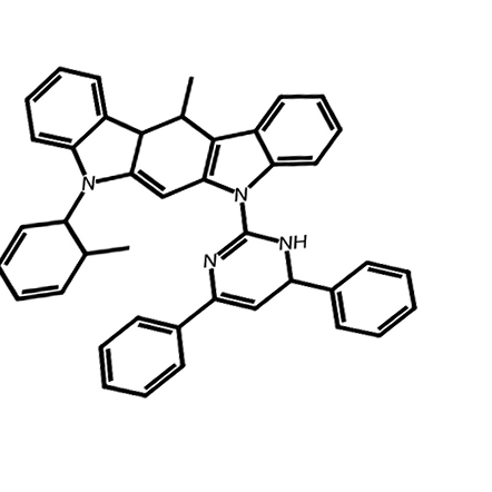 CC1C=CC=CC1N1C2=Cc3c(c4ccccc4n3C3=NC(c4ccccc4)=CC(c4ccccc4)N3)C(C)C2c2ccccc21